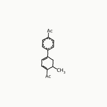 CC(=O)C1=CC=C(c2ccc(C(C)=O)cc2)CC1C